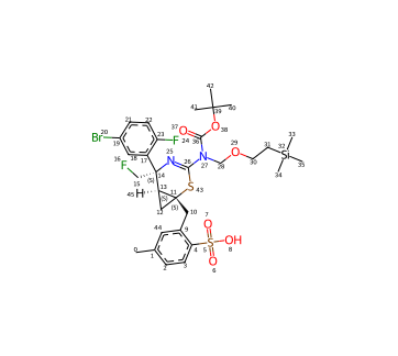 Cc1ccc(S(=O)(=O)O)c(C[C@@]23C[C@H]2[C@@](CF)(c2cc(Br)ccc2F)N=C(N(COCC[Si](C)(C)C)C(=O)OC(C)(C)C)S3)c1